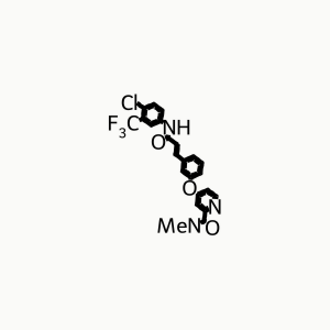 CNC(=O)c1cc(Oc2cccc(C=CC(=O)Nc3ccc(Cl)c(C(F)(F)F)c3)c2)ccn1